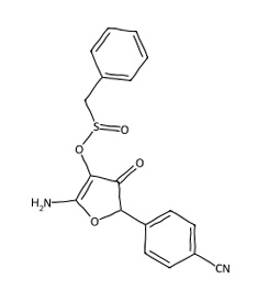 N#Cc1ccc(C2OC(N)=C(OS(=O)Cc3ccccc3)C2=O)cc1